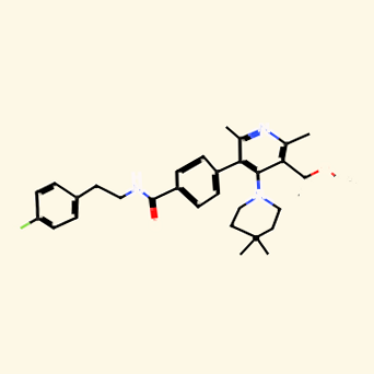 Cc1nc(C)c([C@H](OC(C)(C)C)C(=O)O)c(N2CCC(C)(C)CC2)c1-c1ccc(C(=O)NCCc2ccc(F)cc2)cc1